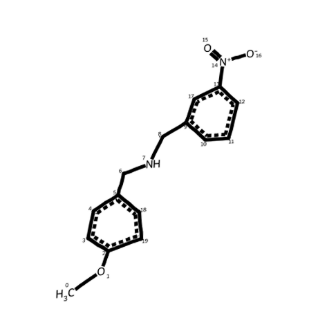 COc1ccc(CN[CH]c2cccc([N+](=O)[O-])c2)cc1